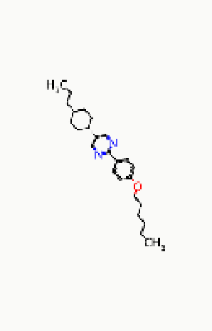 CCCCCCOc1ccc(-c2ncc([C@H]3CC[C@H](CCC)CC3)cn2)cc1